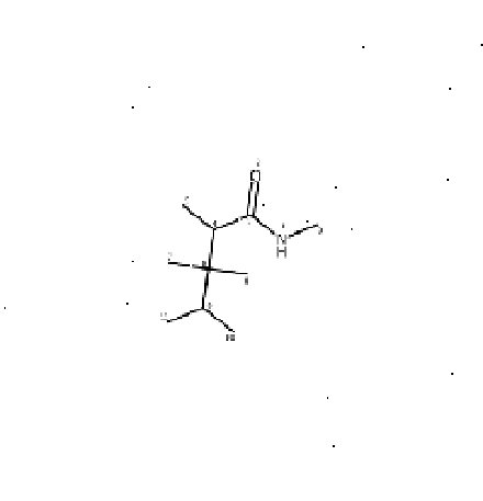 CNC(=O)C(C)C(C)(C)C(C)C